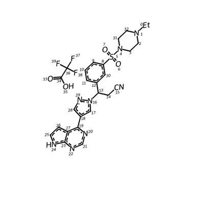 CCN1CCN(S(=O)(=O)c2cccc(C(CC#N)n3cc(-c4ncnc5[nH]ccc45)cn3)c2)CC1.O=C(O)C(F)(F)F